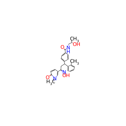 Cc1ccccc1C(C/C(=N/O)c1ccc(=O)n(C)c1)c1ccc(C(=O)NC[C@@H](C)O)cc1